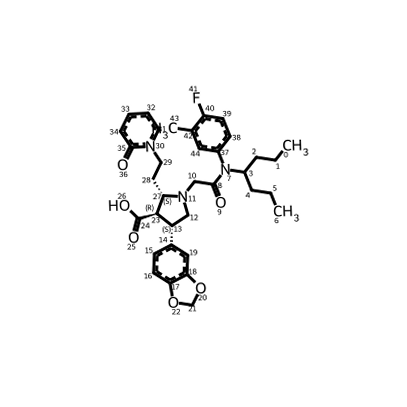 CCCC(CCC)N(C(=O)CN1C[C@H](c2ccc3c(c2)OCO3)[C@@H](C(=O)O)[C@@H]1CCn1ccccc1=O)c1ccc(F)c(C)c1